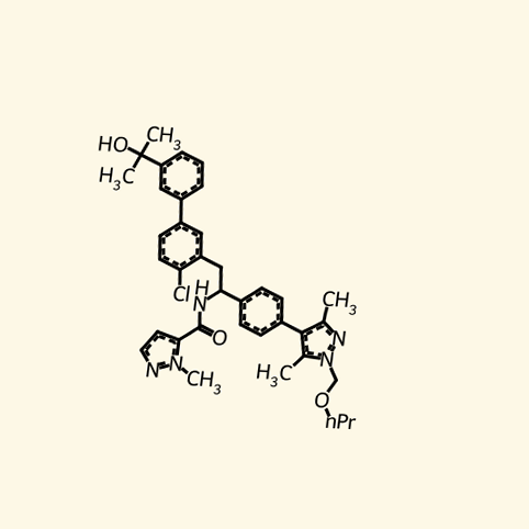 CCCOCn1nc(C)c(-c2ccc(C(Cc3cc(-c4cccc(C(C)(C)O)c4)ccc3Cl)NC(=O)c3ccnn3C)cc2)c1C